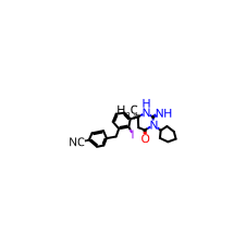 C[C@@]1(c2cccc(Cc3ccc(C#N)cc3)c2I)CC(=O)N(C2CCCCC2)C(=N)N1